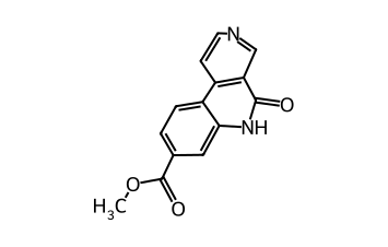 COC(=O)c1ccc2c(c1)[nH]c(=O)c1cnccc12